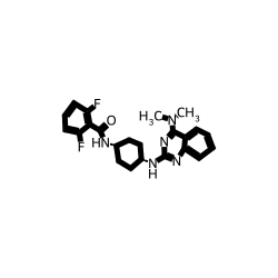 CN(C)c1nc(N[C@H]2CC[C@@H](NC(=O)c3c(F)cccc3F)CC2)nc2ccccc12